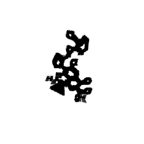 CC1(n2cc(C(=O)O)c(=O)c3cc(Cl)c(N4CCC[C@@H]4COc4ncccc4Cl)c(F)c32)CC1